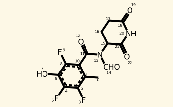 Cc1c(F)c(F)c(O)c(F)c1C(=O)N(C=O)C1CCC(=O)NC1=O